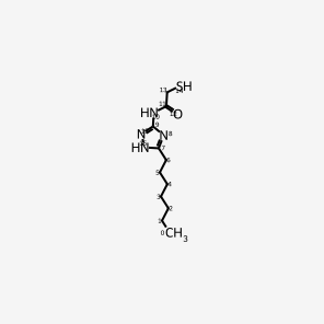 CCCCCCCc1nc(NC(=O)CS)n[nH]1